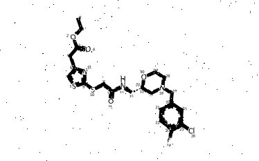 CCOC(=O)Cc1csc(SCC(=O)NC[C@H]2CN(Cc3ccc(F)c(Cl)c3)CCO2)n1